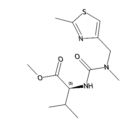 COC(=O)[C@@H](NC(=O)N(C)Cc1csc(C)n1)C(C)C